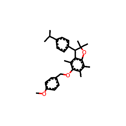 COc1ccc(COc2c(C)c(C)c3c(c2C)C(c2ccc(C(C)C)cc2)C(C)(C)O3)cc1